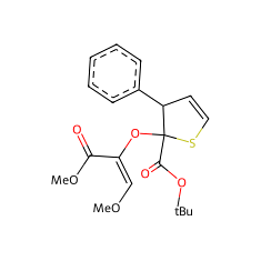 COC=C(OC1(C(=O)OC(C)(C)C)SC=CC1c1ccccc1)C(=O)OC